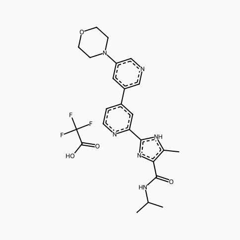 Cc1[nH]c(-c2cc(-c3cncc(N4CCOCC4)c3)ccn2)nc1C(=O)NC(C)C.O=C(O)C(F)(F)F